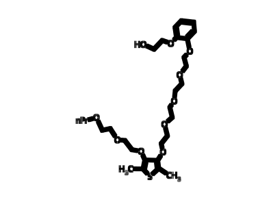 CCCOCCOCCOc1c(C)sc(C)c1OCCOCCOCCOCCOc1ccccc1OCCO